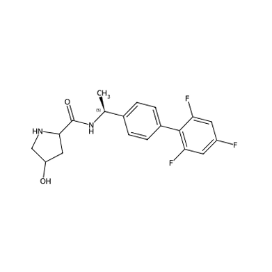 C[C@H](NC(=O)C1CC(O)CN1)c1ccc(-c2c(F)cc(F)cc2F)cc1